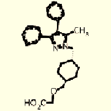 Cc1c(-c2ccccc2)c(-c2ccccc2)nn1C[C@H]1CC[C@H](COCC(=O)O)CC1